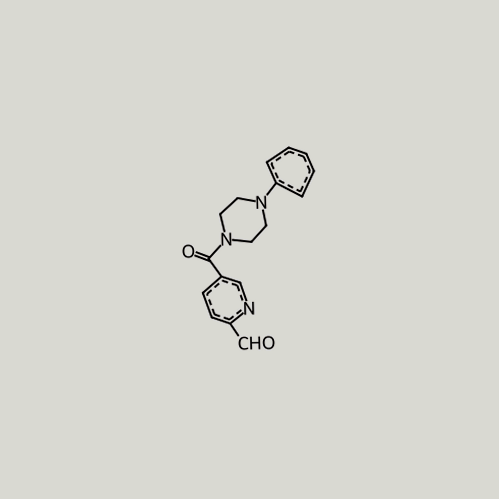 O=Cc1ccc(C(=O)N2CCN(c3ccccc3)CC2)cn1